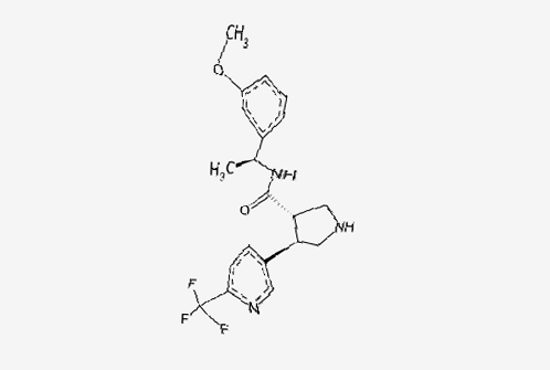 COc1cccc([C@H](C)NC(=O)[C@@H]2CNC[C@H]2c2ccc(C(F)(F)F)nc2)c1